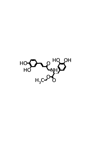 CCOC(=O)[C@@H](Cc1ccc(O)c(O)c1)NCC(=O)C=Cc1ccc(O)c(O)c1